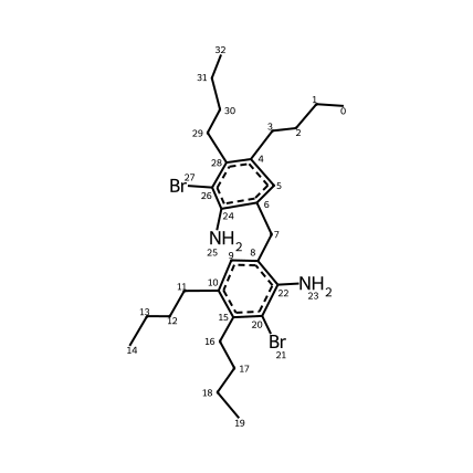 CCCCc1cc(Cc2cc(CCCC)c(CCCC)c(Br)c2N)c(N)c(Br)c1CCCC